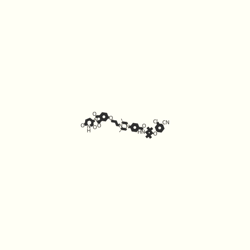 C[C@@H]1CN(c2ccc(C(=O)N[C@H]3C(C)(C)[C@H](Oc4ccc(C#N)c(Cl)c4)C3(C)C)cc2)C[C@H](C)N1CCCOc1ccc2c(c1)C(=O)N(C1CCC(=O)NC1=O)C2=O